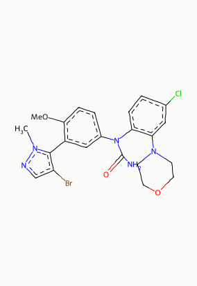 COc1ccc(N(C(N)=O)c2ccc(Cl)cc2N2CCOCC2)cc1-c1c(Br)cnn1C